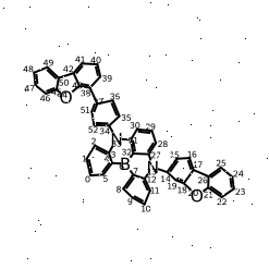 c1ccc2c(c1)B1c3ccccc3N(c3ccc4c(c3)oc3ccccc34)c3cccc(c31)N2c1ccc(-c2cccc3c2oc2ccccc23)cc1